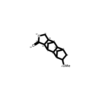 COC1CC2CC1C1C3CC(C4COC(=O)C43)C21